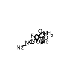 COc1c(N2CCC(N(C)CCC#N)C2)c(F)cc2c(=O)n(N)c(=O)n(C3CC3)c12